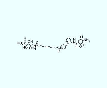 Nc1c(Cl)cc(C(=O)NCC2CCCCN2CC2CCN(C(=O)CCCCCCCCCCC(=O)NCC(O)C(O)C(O)C(O)CO)CC2)c2c1CCO2